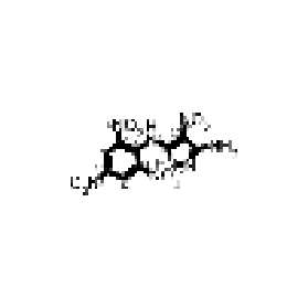 Nc1n[nH]c(Nc2c([N+](=O)[O-])cc([N+](=O)[O-])cc2[N+](=O)[O-])c1[N+](=O)[O-]